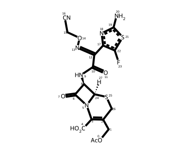 CC(=O)OCC1=C(C(=O)O)N2C(=O)[C@@H](NC(=O)C(=NOCC#N)c3nc(N)sc3F)[C@H]2SC1